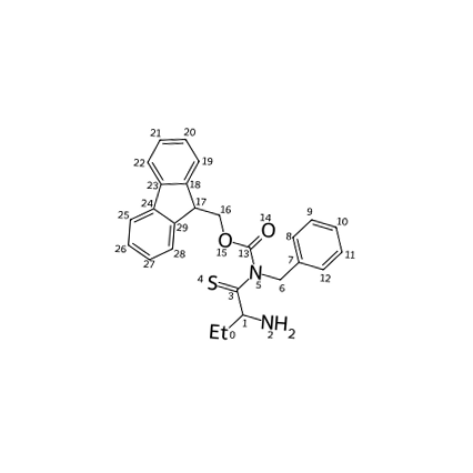 CCC(N)C(=S)N(Cc1ccccc1)C(=O)OCC1c2ccccc2-c2ccccc21